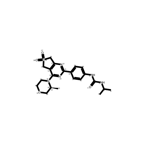 CC(C)NC(=O)Nc1ccc(-c2nc3c(c(N4CCOC[C@@H]4C)n2)CS(=O)(=O)C3)cc1